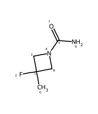 CC1(F)CN(C(N)=O)C1